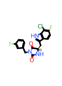 O=C1N[C@H](Cc2c[nH]c3c(Cl)c(F)ccc23)C(=O)N1Cc1cccc(F)c1